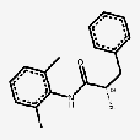 [CH2][C@@H](Cc1ccccc1)C(=O)Nc1c(C)cccc1C